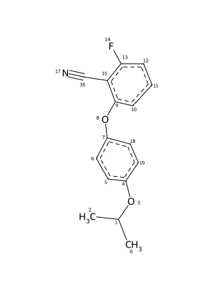 CC(C)Oc1ccc(Oc2cccc(F)c2C#N)cc1